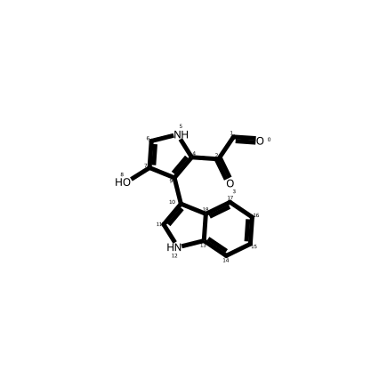 O=CC(=O)c1[nH]cc(O)c1-c1c[nH]c2ccccc12